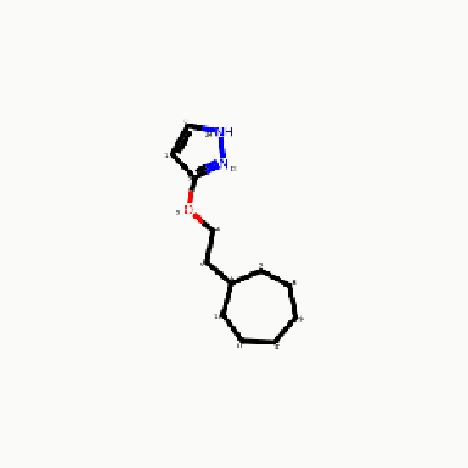 c1cc(OCCC2CCCCCC2)n[nH]1